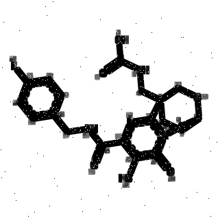 O=C(O)NCC12CCC(Cn3c1nc(C(=O)NCc1ccc(F)cc1)c(O)c3=O)OC2